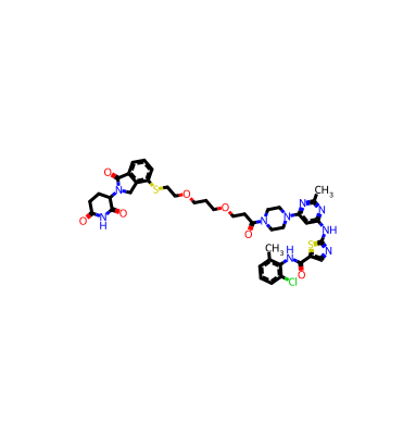 Cc1nc(Nc2ncc(C(=O)Nc3c(C)cccc3Cl)s2)cc(N2CCN(C(=O)CCOCCCOCCSc3cccc4c3CN(C3CCC(=O)NC3=O)C4=O)CC2)n1